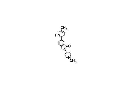 C[C@H]1CCC(c2ccc3c(c2)C(=O)N(C2CCN(C)CC2)C3)NC1